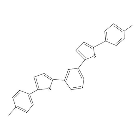 Cc1ccc(-c2ccc(-c3cccc(-c4ccc(-c5ccc(C)cc5)s4)c3)s2)cc1